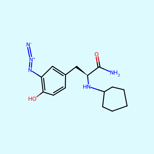 [N-]=[N+]=Nc1cc(C[C@H](NC2CCCCC2)C(N)=O)ccc1O